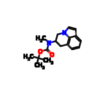 CN(C(=O)OC(C)(C)C)C1Cc2cccc3ccn(c23)C1